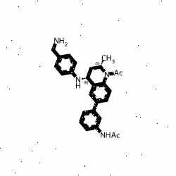 CC(=O)Nc1cccc(-c2ccc3c(c2)[C@H](Nc2ccc(CN)cc2)C[C@H](C)N3C(C)=O)c1